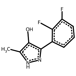 Cc1[nH]nc(-c2cccc(F)c2F)c1O